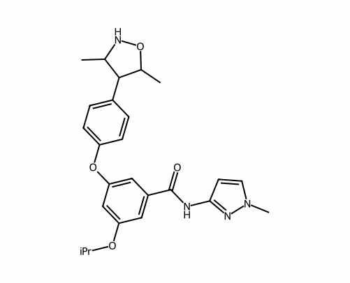 CC(C)Oc1cc(Oc2ccc(C3C(C)NOC3C)cc2)cc(C(=O)Nc2ccn(C)n2)c1